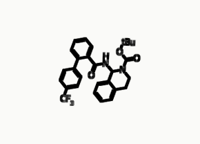 CC(C)(C)OC(=O)N1CCc2ccccc2C1NC(=O)c1ccccc1-c1ccc(C(F)(F)F)cc1